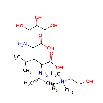 C=CC.CC(C)CC(N)C(=O)O.C[N+](C)(C)CCO.NCC(=O)O.OCC(O)CO